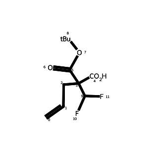 C=CCC(C(=O)O)(C(=O)OC(C)(C)C)C(F)F